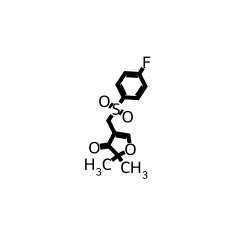 CC1(C)OC=C(CS(=O)(=O)c2ccc(F)cc2)C1=O